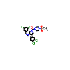 CN(Cc1cc(F)cc(F)c1)C1CN(C(=O)N2CCN(S(C)(=O)=O)CC2)C[C@@H]1c1ccc(Cl)c(Cl)c1